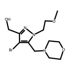 COCCn1nc(CO)c(Br)c1CN1CCOCC1